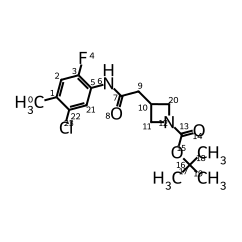 Cc1cc(F)c(NC(=O)CC2CN(C(=O)OC(C)(C)C)C2)cc1Cl